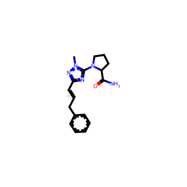 Cn1nc(/C=C/Cc2ccccc2)nc1N1CCCC1C(N)=O